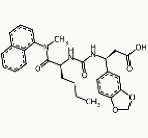 CCCC[C@H](NC(=O)N[C@@H](CC(=O)O)c1ccc2c(c1)OCO2)C(=O)N(C)c1cccc2ccccc12